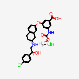 COC(=O)Nc1cc(Oc2ccc3c(c2)C[C@@H](NC[C@@H](O)c2ccc(Cl)cc2)CC3)cc(C(=O)O)c1.Cl